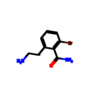 NC[CH]c1cccc(Br)c1C(N)=O